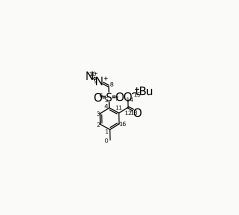 Cc1ccc(S(=O)(=O)C=[N+]=[N-])c(C(=O)OC(C)(C)C)c1